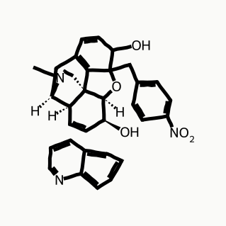 CN1CC[C@]23C4=C5C=CC(O)C4(Cc4ccc([N+](=O)[O-])cc4)O[C@H]2[C@@H](O)C=C[C@H]3[C@H]1C5.c1ccc2ncccc2c1